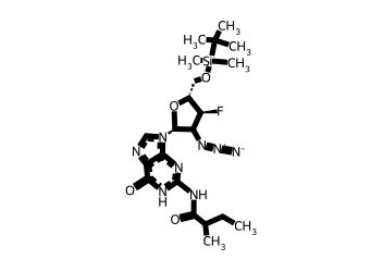 CCC(C)C(=O)Nc1nc2c(ncn2[C@@H]2O[C@H](CO[Si](C)(C)C(C)(C)C)[C@@H](F)C2N=[N+]=[N-])c(=O)[nH]1